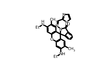 CCNc1cc2c(cc1C)C1(c3cc(C)c(NCC)cc3O2)c2ccccc2C(=O)N1/N=C\c1ncc[nH]1